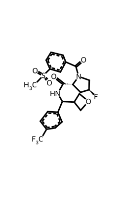 CS(=O)(=O)c1cccc(C(=O)N2C[C@@H](F)C[C@@H]2C(=O)NC(c2ccc(C(F)(F)F)cc2)C2COC2)c1